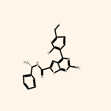 C[C@H](NC(=O)c1cc2c(-c3ccc(CI)cc3Cl)nc(N)nc2s1)c1ccccc1